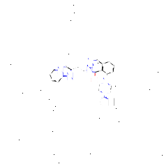 CN1CCN(c2cccc3cnn(CCc4cn5ccccc5n4)c(=O)c23)CC1